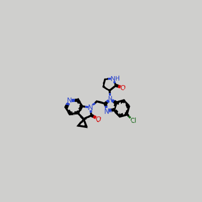 O=C1NCCC1n1c(CN2C(=O)C3(CC3)c3ccncc32)nc2cc(Cl)ccc21